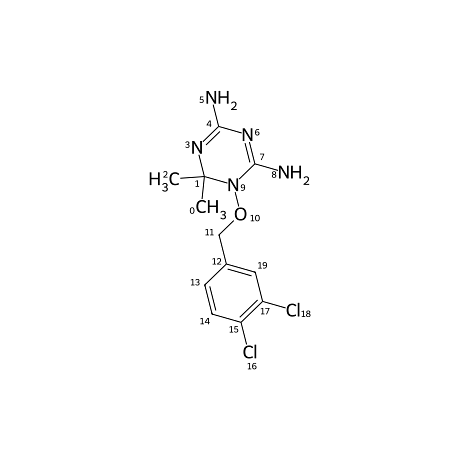 CC1(C)N=C(N)N=C(N)N1OCc1ccc(Cl)c(Cl)c1